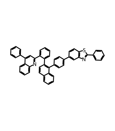 c1ccc(-c2nc3cc(-c4ccc(-c5c(-c6ccccc6-c6cc(-c7ccccc7)c7ccccc7n6)ccc6ccccc56)cc4)ccc3s2)cc1